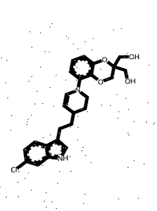 OCC1(CO)COc2c(cccc2N2C=CC(CCc3c[nH]c4cc(Cl)ccc34)CC2)O1